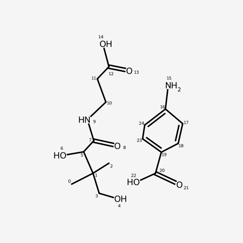 CC(C)(CO)C(O)C(=O)NCCC(=O)O.Nc1ccc(C(=O)O)cc1